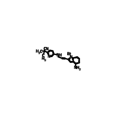 CCn1c(C#CCNc2ccc(C(C)(C)C#N)nc2)cc2c(N)cccc21